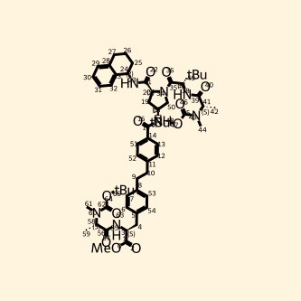 COC(=O)[C@H](Cc1ccc(CCc2ccc(C(=O)N[C@H]3C[C@@H](C(=O)N[C@@H]4CCCc5ccccc54)N(C(=O)[C@@H](NC(=O)[C@H](C)N(C)C(=O)OC(C)(C)C)C(C)(C)C)C3)cc2)cc1)NC(=O)[C@H](C)N(C)C(=O)OC(C)(C)C